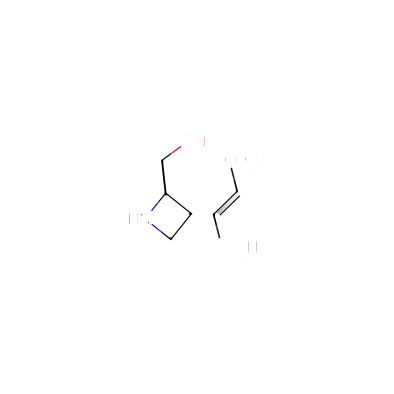 O=C(O)C=CC(=O)O.OCC1CCN1